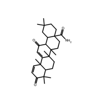 CC1(C)CCC2(C(N)=O)CCC3(C)C(C(=O)C=C4C5(C)C=CC(=O)C(C)(C)C5CCC43C)C2C1